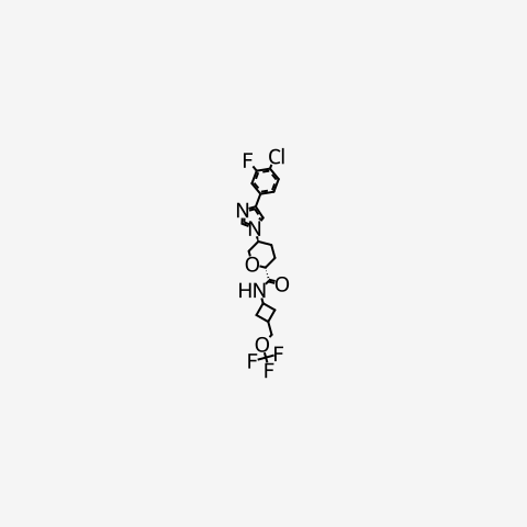 O=C(NC1CC(COC(F)(F)F)C1)[C@H]1CC[C@H](n2cnc(-c3ccc(Cl)c(F)c3)c2)CO1